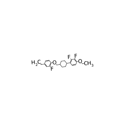 C=Cc1ccc(OCC2CCC(c3ccc(OCC)c(F)c3F)CC2)c(F)c1